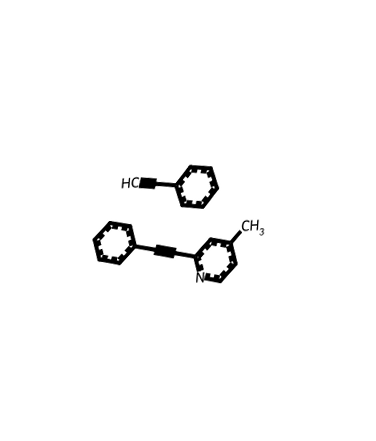 C#Cc1ccccc1.Cc1ccnc(C#Cc2ccccc2)c1